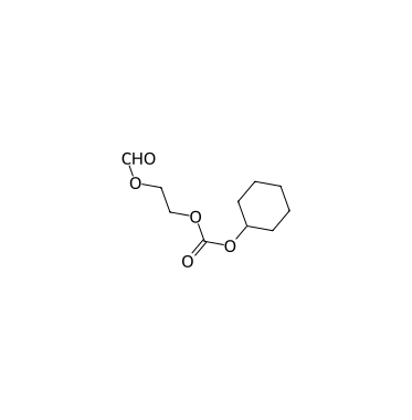 O=COCCOC(=O)OC1CCCCC1